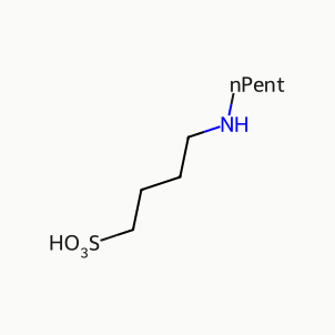 CCCCCNCCCCS(=O)(=O)O